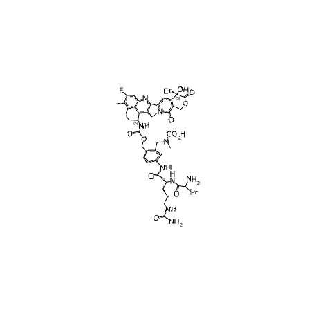 CC[C@@]1(O)C(=O)OCc2c1cc1n(c2=O)Cc2c-1nc1cc(F)c(C)c3c1c2[C@@H](NC(=O)OCc1ccc(NC(=O)C(CCCNC(N)=O)NC(=O)C(N)C(C)C)cc1CN(C)C(=O)O)CC3